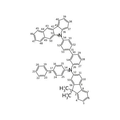 CC1(C)c2ccccc2-c2ccc(N(c3ccc(-c4ccccc4)cc3)c3cccc(-c4ccc(-n5c6ccccc6c6cc7ccccc7cc65)cc4)c3)cc21